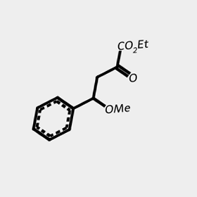 CCOC(=O)C(=O)CC(OC)c1ccccc1